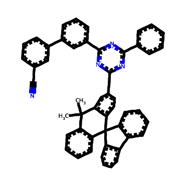 CC1(C)c2ccccc2C2(c3ccccc3-c3ccccc32)c2ccc(-c3nc(-c4ccccc4)nc(-c4cccc(-c5cccc(C#N)c5)c4)n3)cc21